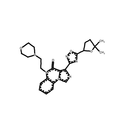 CC1(C)CCC(c2nc(-c3ncn4c3c(=O)n(CCN3CCOCC3)c3ccccc34)no2)O1